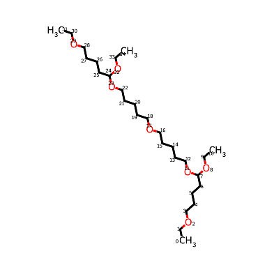 CCOCCCCC(OCC)OCCCCCOCCCCCOC(CCCCOCC)OCC